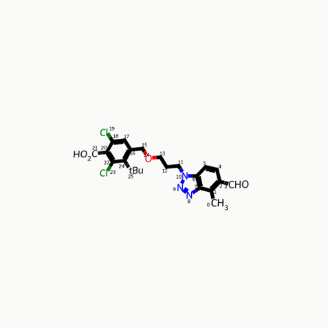 Cc1c(C=O)ccc2c1nnn2CCCOCc1cc(Cl)c(C(=O)O)c(Cl)c1C(C)(C)C